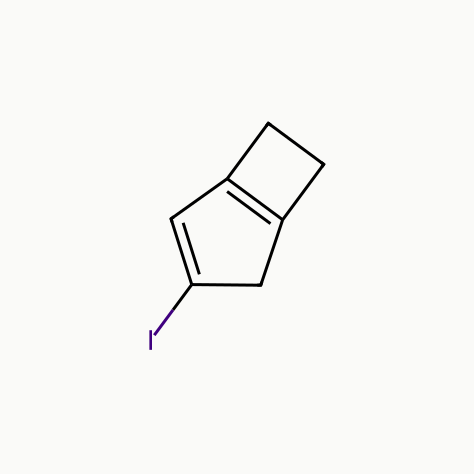 IC1=CC2=C(CC2)C1